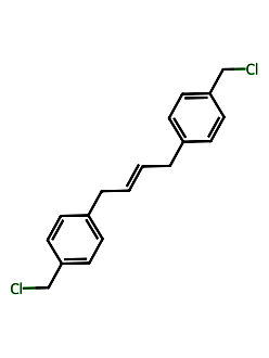 ClCc1ccc(CC=CCc2ccc(CCl)cc2)cc1